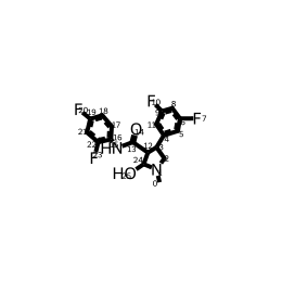 CN1CC(c2cc(F)cc(F)c2)C(C(=O)Nc2ccc(F)cc2F)C1O